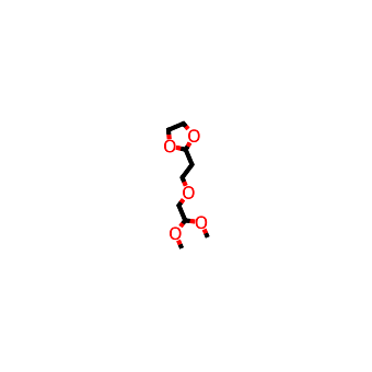 COC(COCCC1OCCO1)OC